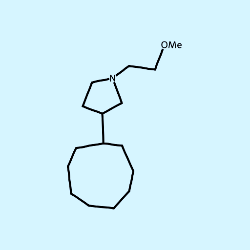 COCCN1CCC(C2CCCCCCCC2)C1